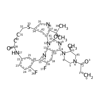 C=CC(=O)N1CCN(c2nc(=O)n3c4nc(c(F)cc24)-c2cc(ccc2F)NC(=O)CCCSc2cnc(C(C)C)c-3c2)[C@@H](C)C1